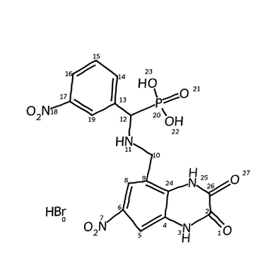 Br.O=c1[nH]c2cc([N+](=O)[O-])cc(CNC(c3cccc([N+](=O)[O-])c3)P(=O)(O)O)c2[nH]c1=O